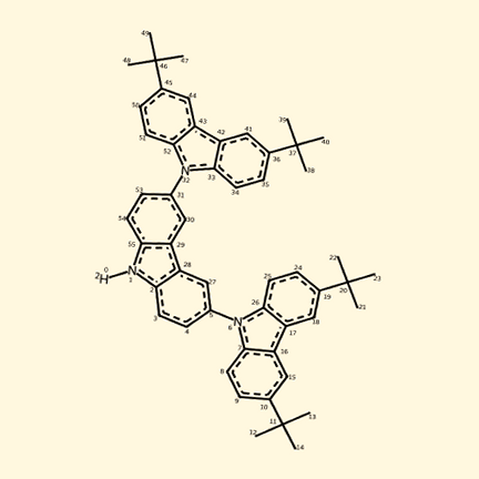 [2H]n1c2ccc(-n3c4ccc(C(C)(C)C)cc4c4cc(C(C)(C)C)ccc43)cc2c2cc(-n3c4ccc(C(C)(C)C)cc4c4cc(C(C)(C)C)ccc43)ccc21